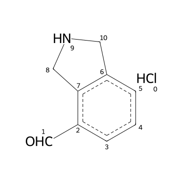 Cl.O=Cc1cccc2c1CNC2